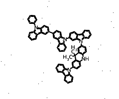 CC1(C)c2cc(-n3c4ccccc4c4ccccc43)ccc2Nc2ccc(-n3c4ccccc4c4ccc(-n5c6ccccc6c6cc(-c7ccc8c(c7)c7ccccc7n8-c7ccccc7)ccc65)cc43)cc21